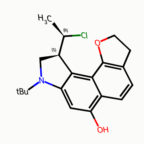 C[C@@H](Cl)[C@@H]1CN(C(C)(C)C)c2cc(O)c3ccc4c(c3c21)OCC4